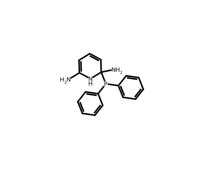 NC1=CC=CC(N)(P(c2ccccc2)c2ccccc2)N1